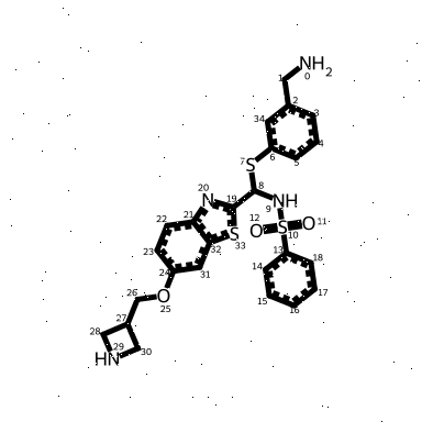 NCc1cccc(SC(NS(=O)(=O)c2ccccc2)c2nc3ccc(OCC4CNC4)cc3s2)c1